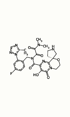 Cc1ncnn1-c1cc(F)ccc1CN(C(=O)C(=O)N(C)C)C(=O)c1nc2n(c(=O)c1O)CCO[C@@]21CCNC1